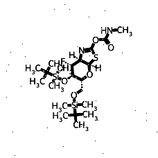 CNC(=O)OC1=N[C@@H]2[C@@H](F)[C@H](O[Si](C)(C)C(C)(C)C)[C@@H](CO[Si](C)(C)C(C)(C)C)O[C@@H]2S1